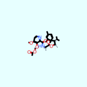 COc1ccnc(C(=O)N[C@@H](C)C(=O)O[C@@H](C)[C@H](C(C)C)C2(C)C=CC(C)=CC2C)c1OCOC(C)=O